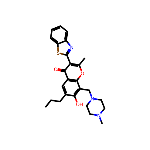 CCCc1cc2c(=O)c(-c3nc4ccccc4s3)c(C)oc2c(CN2CCN(C)CC2)c1O